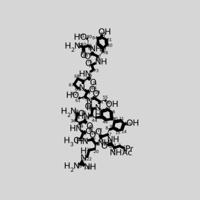 CC(=O)N[C@@H](CC(C)C)C(=O)N[C@@H](Cc1ccc(O)cc1)C(=O)N[C@@H](CCCNC(=N)N)C(=O)N[C@@H](C)C(=O)N[C@@H](CC(N)=O)C(=O)N[C@@H](Cc1ccccc1)C(=O)N[C@@H](CO)C(=O)N[C@@H](CO)C(=O)N1CCC[C@H]1C(=O)NCC(=O)N[C@@H](Cc1ccc(O)cc1)C(=O)N[C@@H](CO)C(N)=O